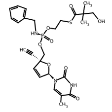 C#C[C@@]1(CO[P@](=O)(NCc2ccccc2)OCCSC(=O)C(C)(C)CO)C=C[C@H](n2cc(C)c(=O)[nH]c2=O)O1